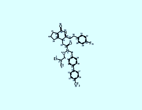 CCN(CC)CON(Cc1ccc(-c2ccc(C(F)(F)F)cc2)cc1)C(=O)CC1C(CCc2ccc(F)cc2)=NC(=O)C2=C1CCC2